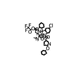 COc1ccccc1C1(N2C[C@H](OC(=O)C(F)(F)F)C[C@H]2C(=O)N(C)C)C(=O)N(S(=O)(=O)c2ccc(Oc3ccccc3)nc2)c2ccc(Cl)cc21